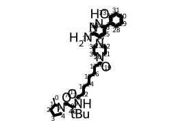 C[C@@H]1CCCN1C(=O)[C@@H](NC(=O)CCCCCCC(=O)N1CCN(c2cc(-c3ccccc3O)nnc2N)CC1)C(C)(C)C